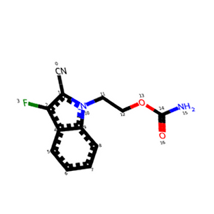 N#Cc1c(F)c2ccccc2n1CCOC(N)=O